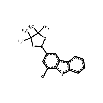 CC1(C)OB(c2cc(Cl)c3sc4ccccc4c3c2)OC1(C)C